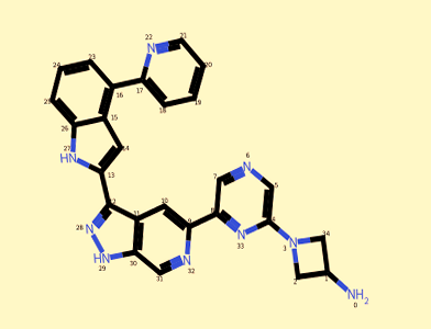 NC1CN(c2cncc(-c3cc4c(-c5cc6c(-c7ccccn7)cccc6[nH]5)n[nH]c4cn3)n2)C1